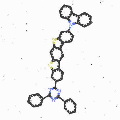 c1ccc(-c2nc(-c3ccccc3)nc(-c3ccc4c(c3)sc3cc5sc6cc(-n7c8ccccc8c8ccccc87)ccc6c5cc34)n2)cc1